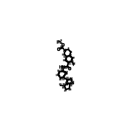 CC(C)OC(=O)N1CCc2cc(F)c(C(=O)Nc3cccc(-c4nnc5n4[C@H](C)CC5)n3)cc2C1